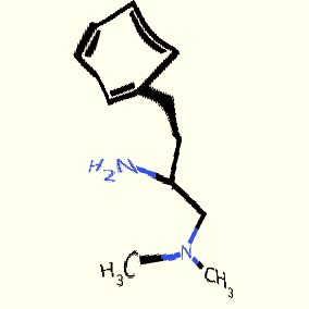 CN(C)C[C](N)Cc1ccccc1